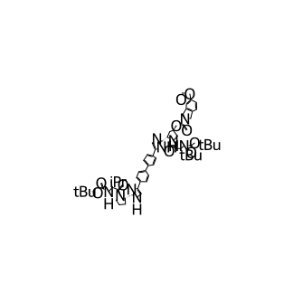 CC(C)[C@H](NC(=O)OC(C)(C)C)C(=O)N1CCC[C@H]1c1nc(-c2ccc(-c3ccc(-c4cnc([C@@H]5C[C@@H](OC(=O)N6Cc7ccc8c(c7C6)OCO8)CN5C(=O)[C@@H](NC(=O)OC(C)(C)C)C(C)(C)C)[nH]4)cc3)cc2)c[nH]1